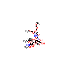 COCCOCCOCC(NC(=O)OCCOC)C(=O)NCC(=O)N[C@H]1C([C@H](O)[C@H](O)CO)O[C@](C)(OCC2O[C@H](OC(C(C)C)C(C)C)C(NC(C)=O)[C@@H](O)[C@H]2O)C[C@H]1O